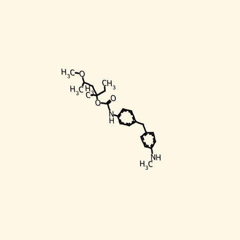 CCC(C)(CC(C)OC)OC(=O)Nc1ccc(Cc2ccc(NC)cc2)cc1